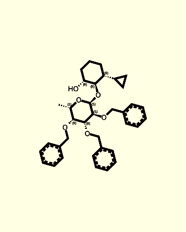 C[C@@H]1O[C@@H](O[C@H]2[C@H](O)CCC[C@@H]2C2CC2)[C@@H](OCc2ccccc2)[C@H](OCc2ccccc2)[C@@H]1OCc1ccccc1